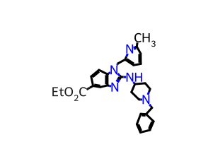 CCOC(=O)c1ccc2c(c1)nc(NC1CCN(Cc3ccccc3)CC1)n2Cc1cccc(C)n1